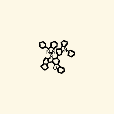 c1ccc(-c2nc(-n3c4ccc5ccccc5c4c4c5oc6ccccc6c5cc(-c5ccc6c7ccccc7n(-c7ccccc7)c6c5)c43)nc3ccccc23)cc1